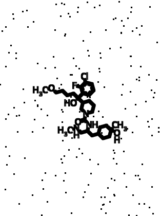 CNCC(CC1CCC(C)(O)CC1)NC(=O)N1CCCC(C(O)(CCCCOC)c2cccc(Cl)c2F)C1